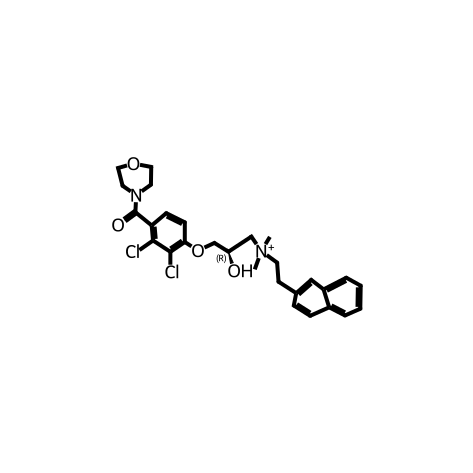 C[N+](C)(CCc1ccc2ccccc2c1)C[C@@H](O)COc1ccc(C(=O)N2CCOCC2)c(Cl)c1Cl